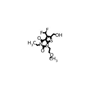 CCn1c(=O)c2c(C(F)F)c(CO)sc2n(CCOC)c1=O